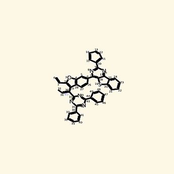 C=Cc1oc2cc(-c3nc(-c4ccccc4)nc4c3sc3ccccc34)ccc2c1/C(=C\C)c1nc(-c2ccccc2)nc(-c2ccccc2)n1